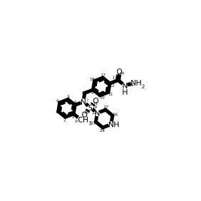 Cc1ccccc1N(Cc1ccc(C(=O)NN)cc1)S(=O)(=O)N1CCNCC1